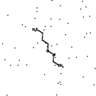 CCCC[O][Al][CH2]C